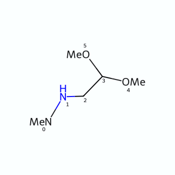 CNNCC(OC)OC